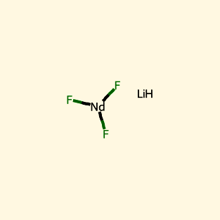 [F][Nd]([F])[F].[LiH]